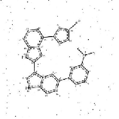 CN(C)c1cncc(-c2cc3c(-c4cc5c(-c6ccc(F)s6)ccnc5[nH]4)n[nH]c3cn2)c1